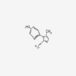 Cc1ccc(C)n1-c1ccc(O)cc1